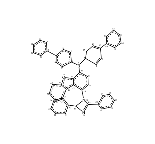 C1=CC(N(c2ccc(-c3ccccc3)cc2)c2ccc(N3C(c4ccccc4)=NC3c3ccccc3)c3c2oc2ccccc23)CC=C1c1ccccc1